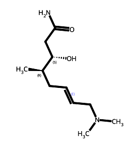 C[C@H](C/C=C/CN(C)C)[C@@H](O)CC(N)=O